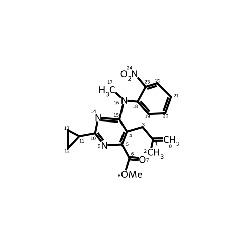 C=C(C)Cc1c(C(=O)OC)nc(C2CC2)nc1N(C)c1ccccc1[N+](=O)[O-]